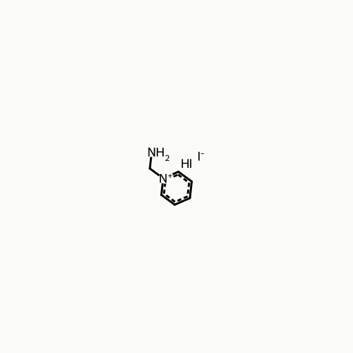 I.NC[n+]1ccccc1.[I-]